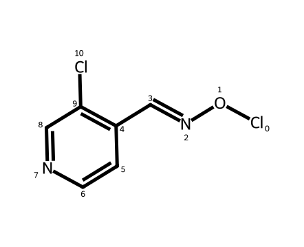 ClON=Cc1ccncc1Cl